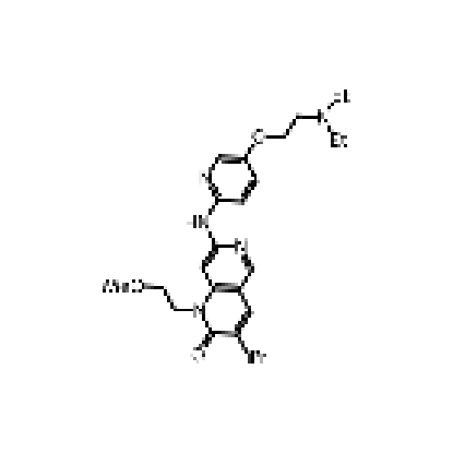 CCN(CC)CCOc1ccc(Nc2cc3c(cn2)cc(C(C)C)c(=O)n3CCOC)nc1